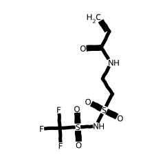 C=CC(=O)NCCS(=O)(=O)NS(=O)(=O)C(F)(F)F